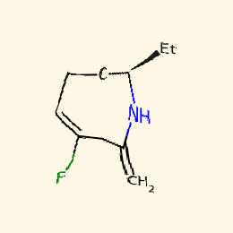 C=C1N[C@H](CC)CCC=C1F